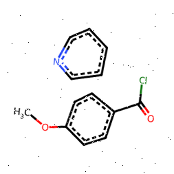 COc1ccc(C(=O)Cl)cc1.c1ccncc1